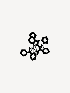 C=C(C)C1=C(c2c(C)c3c4ccccc4ccc3n2-c2nc(C3C=CC=CC3)c3ccccc3n2)N(c2ccccc2)C2CCC=CC12